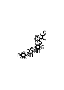 Cc1c(C=O)cn2ncnc(Oc3ccc(NC(=O)CC(=O)Nc4ccc(F)cc4)cc3F)c12